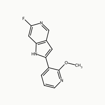 COc1ncccc1-c1cc2cnc(F)cc2[nH]1